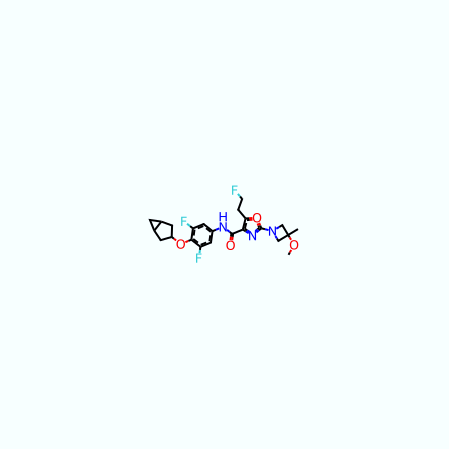 COC1(C)CN(c2nc(C(=O)Nc3cc(F)c(OC4CC5CC5C4)c(F)c3)c(CCF)o2)C1